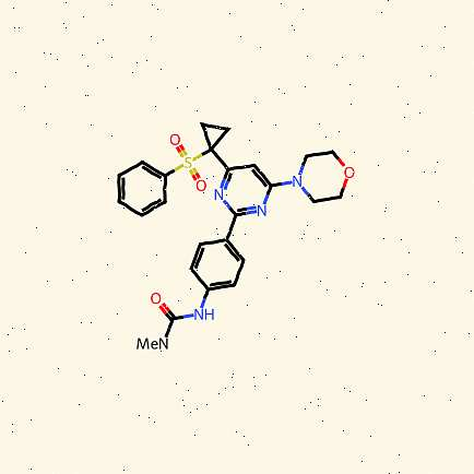 CNC(=O)Nc1ccc(-c2nc(N3CCOCC3)cc(C3(S(=O)(=O)c4ccccc4)CC3)n2)cc1